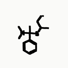 [CH2]CC(C)SC(C)(c1ccccc1)N(C)C